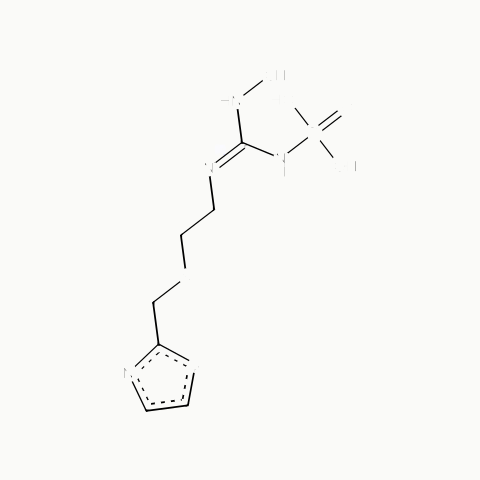 CN/C(=N/CCSCc1nccs1)NP(=O)(O)O